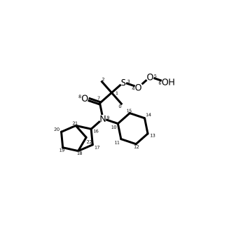 CC(C)(SOOO)C(=O)N(C1CCCCC1)C1CC2CCC1C2